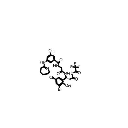 O=C(CNC(=O)c1cc(O)cc(NC2=NCCCCC2)c1)N[C@H](CC(=O)OC(=O)C(F)(F)F)c1cc(Cl)cc(Br)c1O